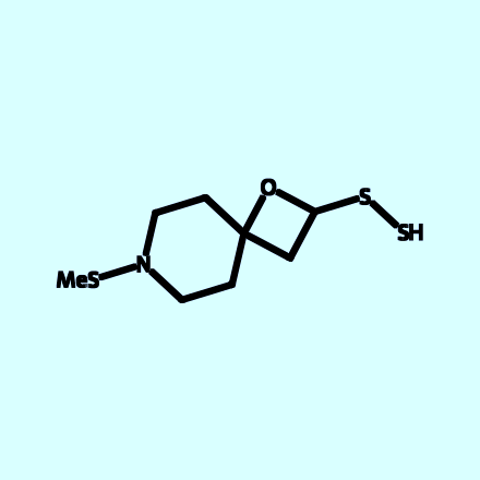 CSN1CCC2(CC1)CC(SS)O2